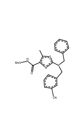 CSNC(=O)c1nc(N(Cc2ccccc2)Cc2cccc(C#N)c2)sc1C